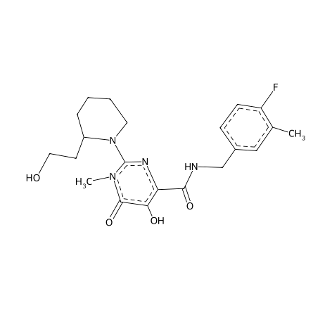 Cc1cc(CNC(=O)c2nc(N3CCCCC3CCO)n(C)c(=O)c2O)ccc1F